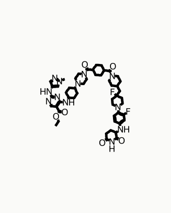 CCOC(=O)c1cnc(Nc2cnn(C)c2)nc1NC1CCC(N2CCN(C(=O)C3CCC(C(=O)N4CCC(CC5(F)CCN(c6ccc(NC7CCC(=O)NC7=O)cc6F)CC5)CC4)CC3)CC2)CC1